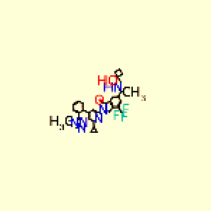 CC(NCC1(O)CCC1)c1cc2c(c(C(F)(F)F)c1)CN(c1cc(-c3ccccc3-c3nncn3C)cc(C3CC3)n1)C2=O